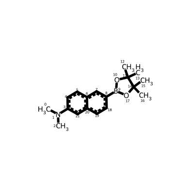 CN(C)c1ccc2cc(B3OC(C)(C)C(C)(C)O3)ccc2c1